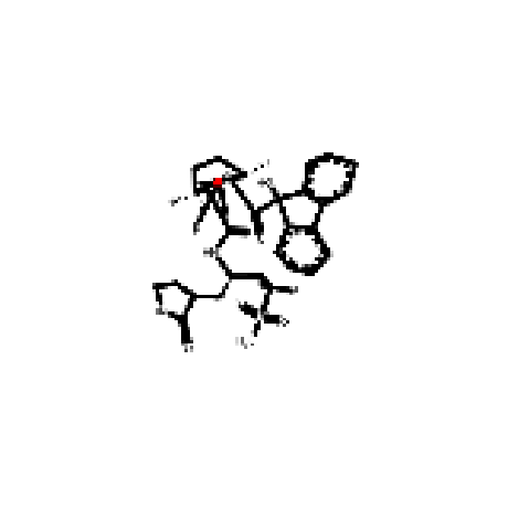 CS(=O)(=O)/C(F)=C\[C@@H](C[C@@H]1CCNC1=O)NC(=O)[C@H]1[C@H]2CC[C@H](CC2(F)F)N1C(=O)C1(O)c2ccccc2-c2ccccc21